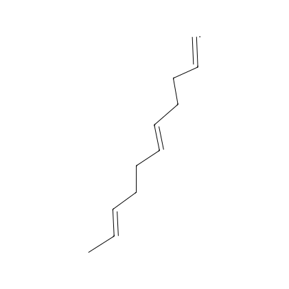 [CH]=CCCC=CCCC=CC